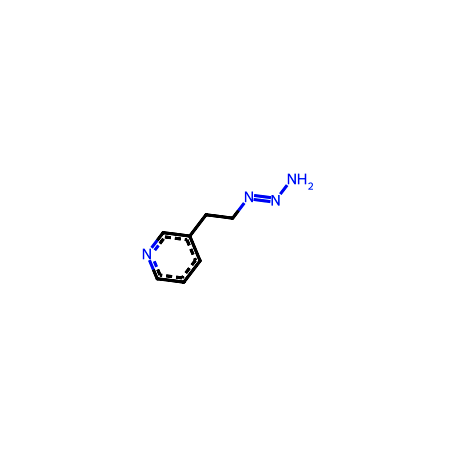 NN=NCCc1cccnc1